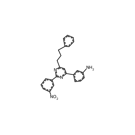 Nc1cccc(-c2cc(CCCc3ccccc3)nc(-c3cccc([N+](=O)[O-])c3)n2)c1